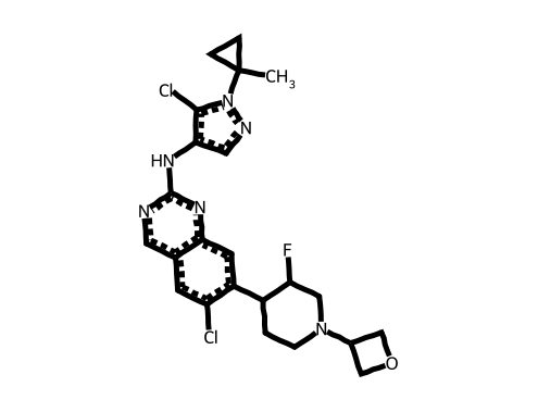 CC1(n2ncc(Nc3ncc4cc(Cl)c(C5CCN(C6COC6)CC5F)cc4n3)c2Cl)CC1